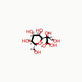 O=C(O)C(O)(CO)[C@H]1O[C@H](CO)[C@@H](O)[C@H](O)[C@H]1O